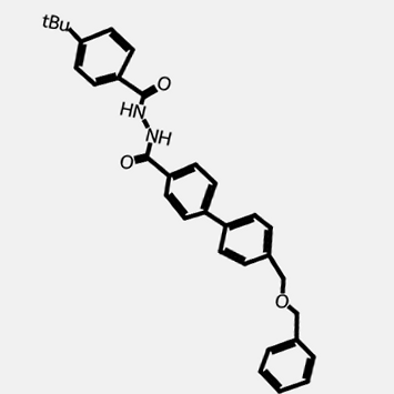 CC(C)(C)c1ccc(C(=O)NNC(=O)c2ccc(-c3ccc(COCc4ccccc4)cc3)cc2)cc1